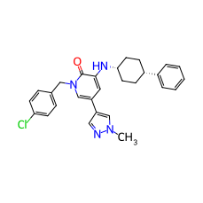 Cn1cc(-c2cc(N[C@H]3CC[C@@H](c4ccccc4)CC3)c(=O)n(Cc3ccc(Cl)cc3)c2)cn1